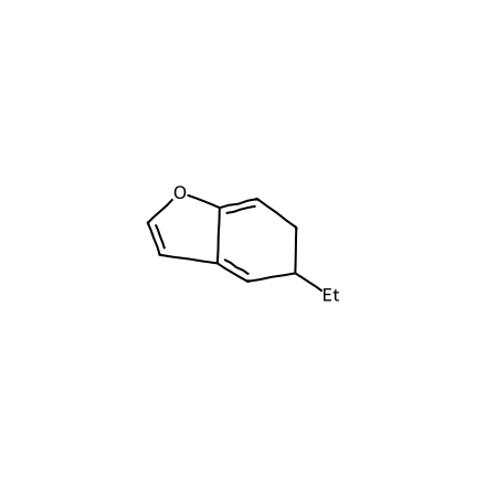 CCC1C=c2ccoc2=CC1